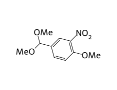 COc1ccc(C(OC)OC)cc1[N+](=O)[O-]